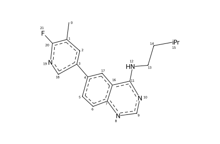 Cc1cc(-c2ccc3ncnc(NCCC(C)C)c3c2)cnc1F